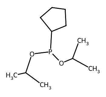 CC(C)OP(OC(C)C)C1CCCC1